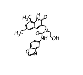 Cc1cc(C)c2[nH]c(=O)c(CN(CCO)C(=O)Nc3ccc4ocnc4c3)cc2c1